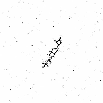 CC1CC(N2CC3CN(C(=O)OC(C)(C)C)CC3C2)C1